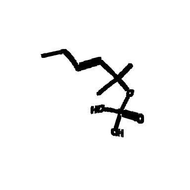 CCC=CC(C)(C)OP(=O)(O)O